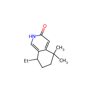 CCC1CCC(C)(C)c2cc(=O)[nH]cc21